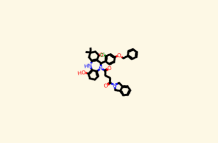 CC1(C)CC(=O)C2=C(C1)NC1=C(O)CCC=C1N(C(=O)CCC(=O)N1Cc3ccccc3C1)C2c1ccc(OCc2ccccc2)cc1Cl